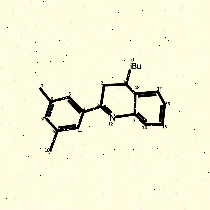 CCC(C)C1CC(c2cc(C)cc(C)c2)=Nc2ccccc21